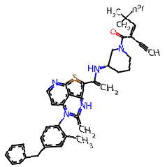 C#C/C(=C/C(C)(C)CCC)C(=O)N1CCC[C@@H](NC(=C)c2sc3nccc4c3c2[nH]c(=C)n4-c2ccc(Cc3ccccc3)cc2C)C1